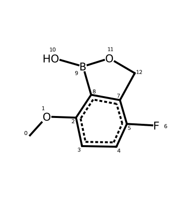 COc1ccc(F)c2c1B(O)OC2